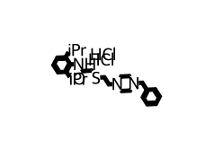 CC(C)c1cccc(C(C)C)c1NC(=O)CSCCN1CCN(Cc2ccccc2)CC1.Cl.Cl